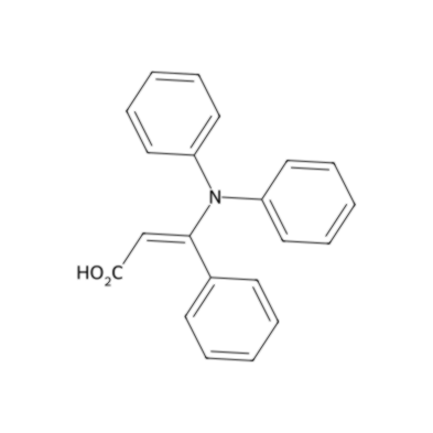 O=C(O)/C=C(\c1ccccc1)N(c1ccccc1)c1ccccc1